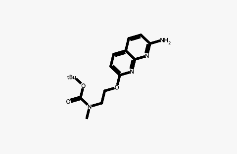 CN(CCOc1ccc2ccc(N)nc2n1)C(=O)OC(C)(C)C